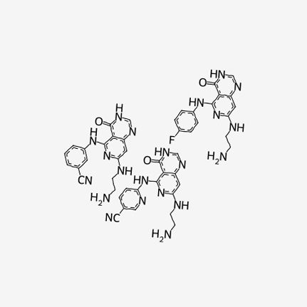 N#Cc1ccc(Nc2nc(NCCN)cc3nc[nH]c(=O)c23)nc1.N#Cc1cccc(Nc2nc(NCCN)cc3nc[nH]c(=O)c23)c1.NCCNc1cc2nc[nH]c(=O)c2c(Nc2ccc(F)cc2)n1